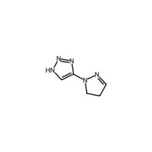 C1=NN(c2c[nH]nn2)CC1